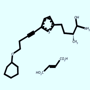 C[C@H](CCc1ccc(C#CCCOC2CCCCC2)s1)C(N)O.O=C(O)C=CC(=O)O